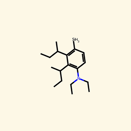 CCC(C)c1c([SiH3])ccc(N(CC)CC)c1C(C)CC